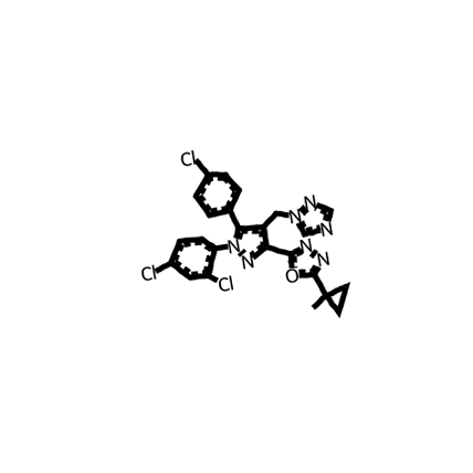 CC1(c2nnc(-c3nn(-c4ccc(Cl)cc4Cl)c(-c4ccc(Cl)cc4)c3Cn3cncn3)o2)CC1